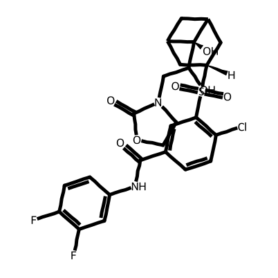 O=C(Nc1ccc(F)c(F)c1)c1ccc(Cl)c(S(=O)(=O)[C@H]2CC3CC(C2)[C@@]3(O)C(O)CN2CCOC2=O)c1